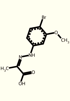 COc1cc(NN=C(C)C(=O)O)ccc1Br